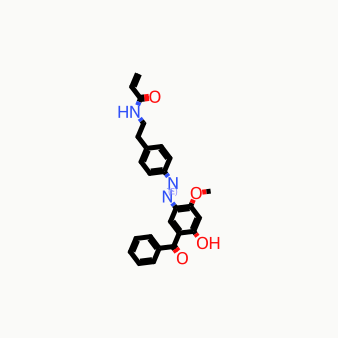 C=CC(=O)NCCc1ccc(/N=N/c2cc(C(=O)c3ccccc3)c(O)cc2OC)cc1